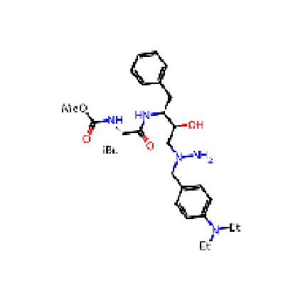 CC[C@H](C)[C@H](NC(=O)OC)C(=O)N[C@@H](Cc1ccccc1)[C@@H](O)CN(N)Cc1ccc(N(CC)CC)cc1